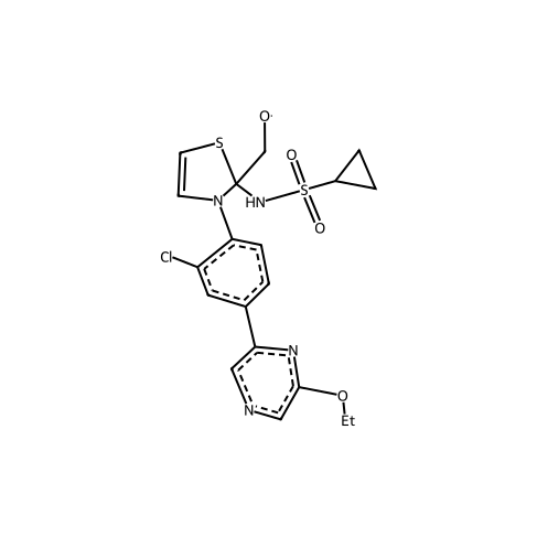 CCOc1cncc(-c2ccc(N3C=CSC3(C[O])NS(=O)(=O)C3CC3)c(Cl)c2)n1